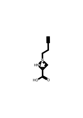 C#CCCn1cc(C(=O)O)[nH]1